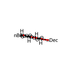 CCCCCCCCCCCCCCCCCC(=O)NCCCC(=O)NCCOCCOCC(=O)NCCOCCOCC(=O)NCCCC